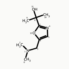 CN(C)Cc1cnc(C(C)(C)O)o1